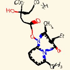 CCc1c(C)[n+](OC(=O)CC(O)(CC(=O)O)C(=O)[O-])c2cccc(C)n2c1=O